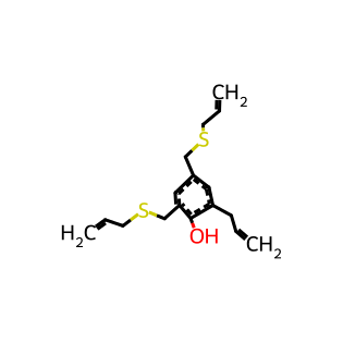 C=CCSCc1cc(CC=C)c(O)c(CSCC=C)c1